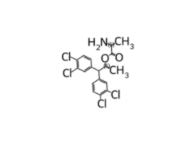 C[C@H](N)C(=O)O[C@@H](C)C(c1ccc(Cl)c(Cl)c1)c1ccc(Cl)c(Cl)c1